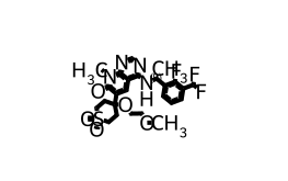 COCCOC1(c2cc3c(N[C@H](C)c4cccc(C(F)F)c4F)ncnc3n(C)c2=O)CCS(=O)(=O)CC1